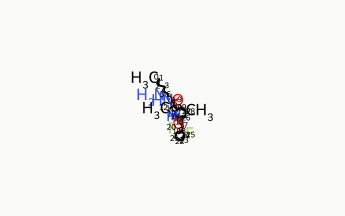 CC=CCC(N)CNC(=O)c1c(C)nn2c(OCc3c(F)cccc3F)cc(C)cc12